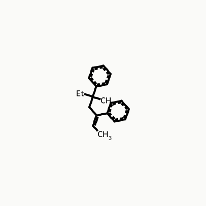 C/C=C(/CC(C)(CC)c1ccccc1)c1ccccc1